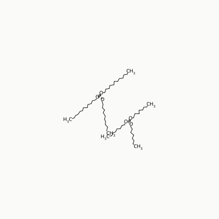 CCCCCCCCCCCCOP(OCCCCCCCCCCCC)OCCCCCCCCCCCC.CCCCCCCCOP(OCCCCCCCC)OCCCCCCCC